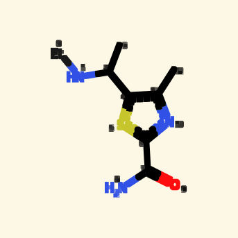 CCNC(C)c1sc(C(N)=O)nc1C